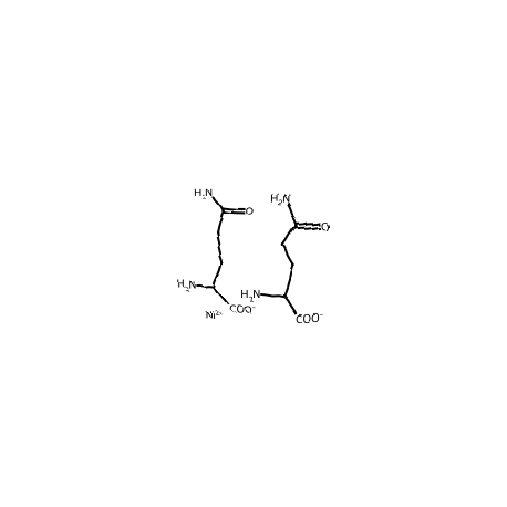 NC(=O)CCC(N)C(=O)[O-].NC(=O)CCC(N)C(=O)[O-].[Ni+2]